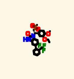 CCOc1cc([C@@H](CS(C)(=O)=O)n2c(=O)[nH]c3cc(-c4ccccc4C(F)(F)F)ccc32)ccc1OC